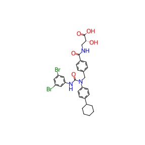 O=C(NC[C@@H](O)C(=O)O)c1ccc(CN(C(=O)Nc2cc(Br)cc(Br)c2)c2ccc(C3CCCCC3)cc2)cc1